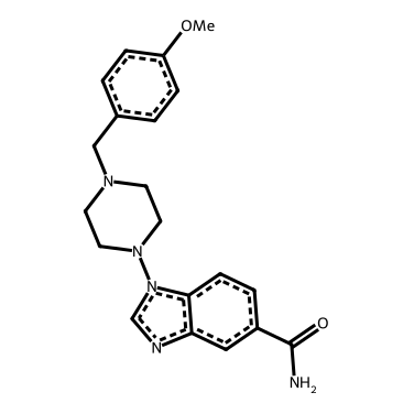 COc1ccc(CN2CCN(n3cnc4cc(C(N)=O)ccc43)CC2)cc1